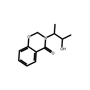 CC(O)C(C)N1COc2ccccc2C1=O